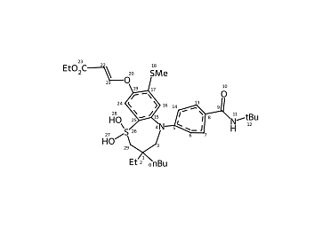 CCCCC1(CC)CN(c2ccc(C(=O)NC(C)(C)C)cc2)c2cc(SC)c(O/C=C/C(=O)OCC)cc2S(O)(O)C1